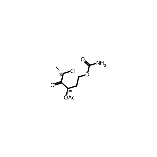 CC(=O)O[C@H](CCOC(N)=O)C(=O)[C@H](C)Cl